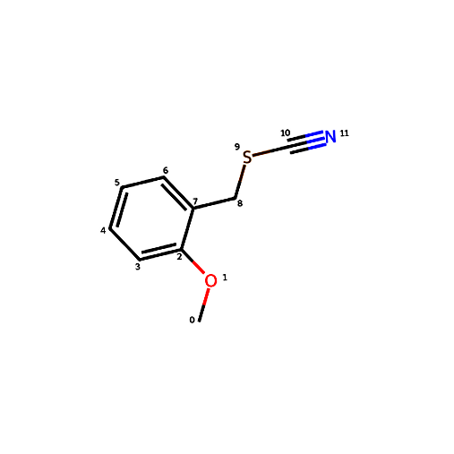 COc1ccccc1CSC#N